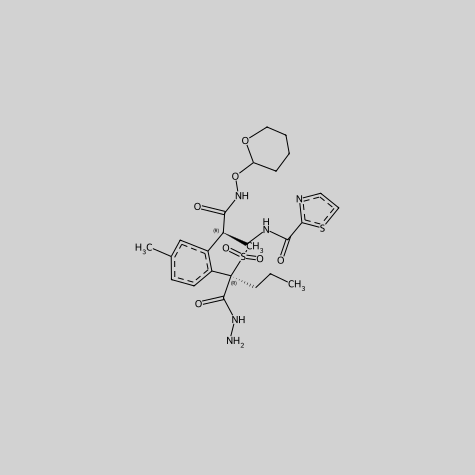 CCC[C@](C(=O)NN)(c1ccc(C)cc1[C@H](CNC(=O)c1nccs1)C(=O)NOC1CCCCO1)S(C)(=O)=O